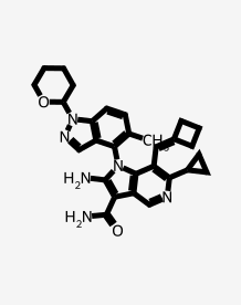 Cc1ccc2c(cnn2C2CCCCO2)c1-n1c(N)c(C(N)=O)c2cnc(C3CC3)c(C=C3CCC3)c21